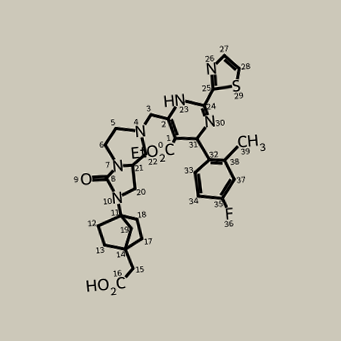 CCOC(=O)C1=C(CN2CCN3C(=O)N(C45CCC(CC(=O)O)(CC4)C5)CC3C2)NC(c2nccs2)=NC1c1ccc(F)cc1C